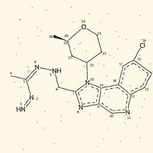 C/C(N=N)=N/NCc1nc2cnc3ccc(Cl)cc3c2n1C1CCO[C@H](C)C1